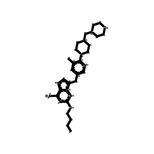 CCCCOc1nc(N)c2ncc(Cc3cnc(N4CCC(CN5CCOCC5)CC4)c(C)c3)n2n1